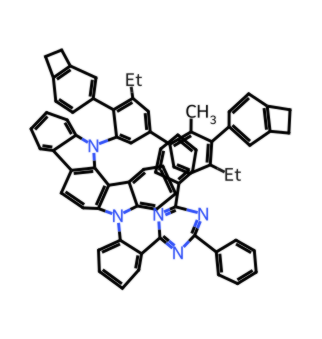 CCc1cc(-c2ccc(CC)c(-c3ccc4c(c3)CC4)c2C)cc(-n2c3ccccc3c3ccc4c(c5ccccc5n4-c4ccccc4-c4nc(-c5ccccc5)nc(-c5ccccc5)n4)c32)c1-c1ccc2c(c1)CC2